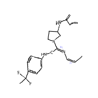 C=CC(=C)NC1CCN(/C(CNc2ccc(C(C)(F)F)cc2)=N/C=C\C)C1